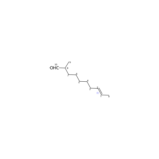 C/C=C/CCCCCC(C)[C]=O